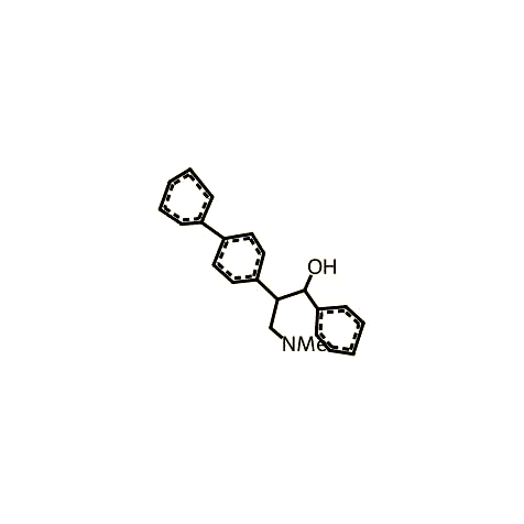 CNCC(c1ccc(-c2ccccc2)cc1)C(O)c1ccccc1